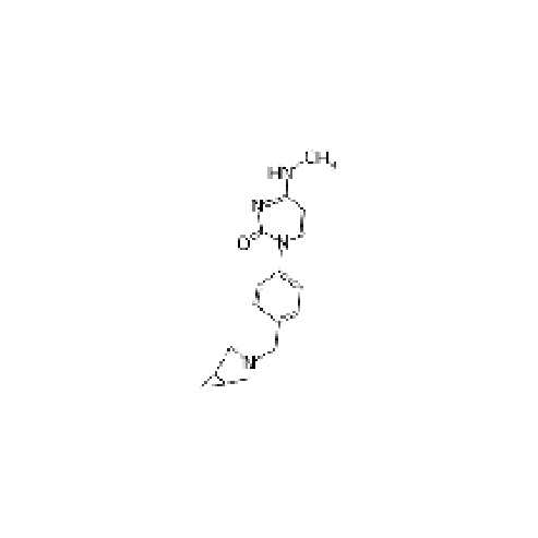 CNc1ccn(-c2ccc(CN3CC4CC4C3)cc2)c(=O)n1